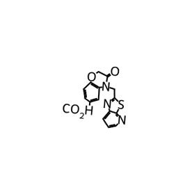 O=C(O)c1ccc2c(c1)N(Cc1nc3cccnc3s1)C(=O)CO2